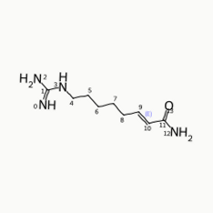 N=C(N)NCCCCC/C=C/C(N)=O